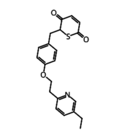 CCc1ccc(CCOc2ccc(CC3SC(=O)C=CC3=O)cc2)nc1